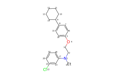 CCN(CCOc1ccc(C2CCCCC2)cc1)c1cccc(Cl)c1